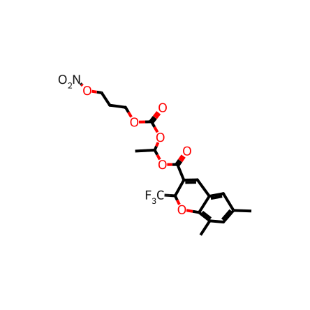 Cc1cc(C)c2c(c1)C=C(C(=O)OC(C)OC(=O)OCCCO[N+](=O)[O-])C(C(F)(F)F)O2